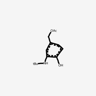 CC(=O)OCc1ccc(O)c(NC(C)(C)C)c1